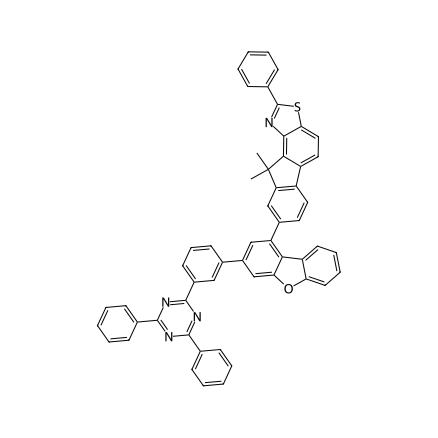 CC1(C)c2cc(-c3cc(-c4cccc(-c5nc(-c6ccccc6)nc(-c6ccccc6)n5)c4)cc4oc5ccccc5c34)ccc2-c2ccc3sc(-c4ccccc4)nc3c21